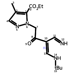 CCOC(=O)c1c(C)cnn1CC(=O)/C(C=N)=C/NC(C)(C)C